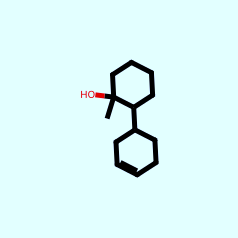 CC1(O)CCCCC1C1CC=CCC1